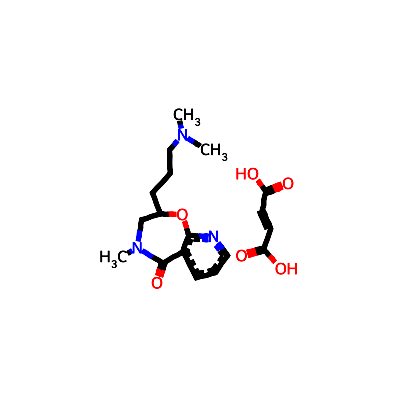 CN(C)CCCC1CN(C)C(=O)c2cccnc2O1.O=C(O)C=CC(=O)O